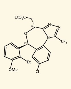 CCOC(=O)C[C@H]1O[C@H](c2cccc(OC)c2CC)c2cc(Cl)ccc2-n2c1nnc2C(F)(F)F